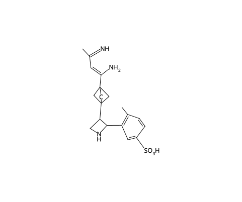 CC(=N)/C=C(\N)C12CC(C3CNC3c3cc(S(=O)(=O)O)ccc3C)(C1)C2